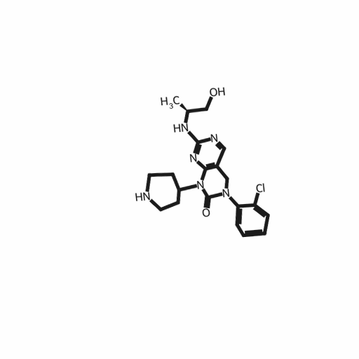 C[C@@H](CO)Nc1ncc2c(n1)N(C1CCNCC1)C(=O)N(c1ccccc1Cl)C2